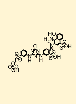 Nc1c(N=Nc2ccc(Nc3nc(Cl)nc(Nc4cccc(S(=O)(=O)CCOS(=O)(=O)O)c4)n3)cc2S(=O)(=O)O)cc(S(=O)(=O)O)c2cccc(O)c12